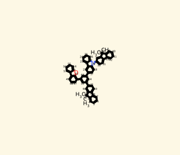 CC1(C)c2ccccc2-c2ccc(-c3cc(-c4ccc5c(c4)c4ccccc4n5-c4ccc5c(c4)C(C)(C)c4ccccc4-5)cc(-c4cccc5c4oc4ccccc45)c3)cc21